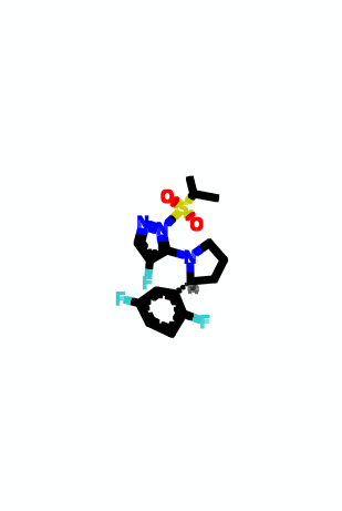 CC(C)S(=O)(=O)n1ncc(F)c1N1CCC[C@@H]1c1cc(F)ccc1F